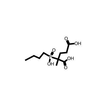 CCCCP(=O)(O)C(C)(CCC(=O)O)C(=O)O